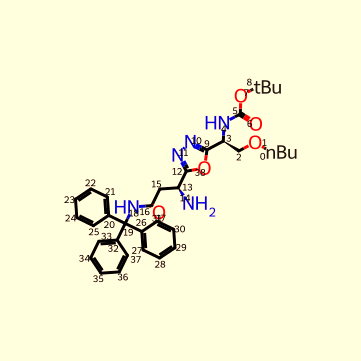 CCCCOC[C@H](NC(=O)OC(C)(C)C)c1nnc([C@@H](N)CC(=O)NC(c2ccccc2)(c2ccccc2)c2ccccc2)o1